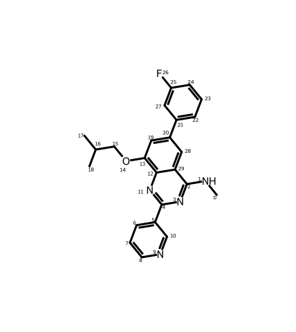 CNc1nc(-c2cccnc2)nc2c(OCC(C)C)cc(-c3cccc(F)c3)cc12